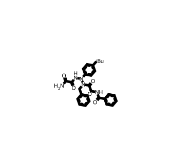 CCC(C)c1ccc(N(NC(=O)C(N)=O)N(Cc2ccccc2)C(=O)C(=O)NC(=O)c2ccccc2)cc1